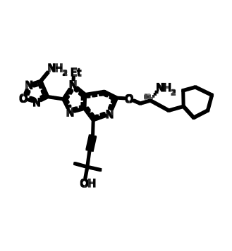 CCn1c(-c2nonc2N)nc2c(C#CC(C)(C)O)nc(OC[C@H](N)CC3CCCCC3)cc21